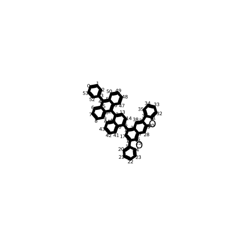 c1ccc(-c2c3ccccc3c(-c3ccc(-c4cc5c6ccccc6oc5c5cc6oc7ccccc7c6cc45)c4ccccc34)c3ccccc23)cc1